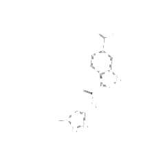 CSc1nnc(NC(=O)c2onc3cc(C(=O)O)ccc23)s1